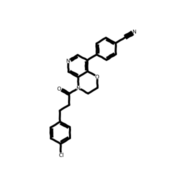 N#Cc1ccc(-c2cncc3c2OCCN3C(=O)CCc2ccc(Cl)cc2)cc1